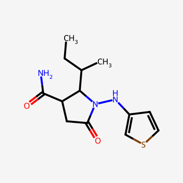 CCC(C)C1C(C(N)=O)CC(=O)N1Nc1ccsc1